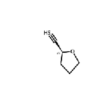 [SH]#C[C@@H]1CCCO1